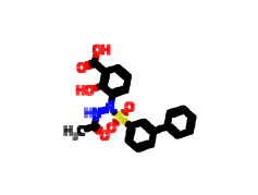 CC(=O)NN(c1cccc(C(=O)O)c1O)S(=O)(=O)c1cccc(-c2ccccc2)c1